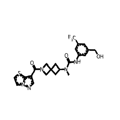 CN(C(=O)Nc1cc(CO)cc(C(F)(F)F)c1)C1CC2(C1)CN(C(=O)c1cnn3ccsc13)C2